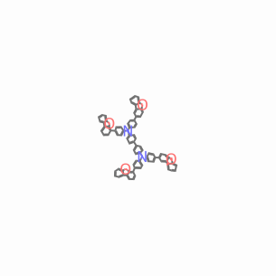 c1ccc2c(c1)oc1ccc(-c3ccc(N(c4ccc(-c5ccc(N(c6ccc(-c7ccc8oc9ccccc9c8c7)cc6)c6ccc(-c7cccc8c7oc7ccccc78)cc6)cc5)cc4)c4ccc(-c5cccc6c5oc5ccccc56)cc4)cc3)cc12